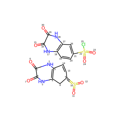 O=c1[nH]c2c([nH]c1=O)CC(=S(=O)=O)C=C2.O=c1[nH]c2ccc(S(=O)(=O)Cl)cc2[nH]c1=O